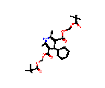 CC1=C(C(=O)OCOC(=O)C(C)(C)C)C(C2CCCCC2)C(C(=O)OCOC(=O)C(C)(C)C)=C(C)N1